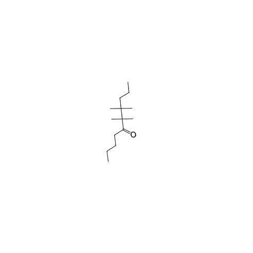 CCCCC(=O)C(C)(C)C(C)(C)CCC